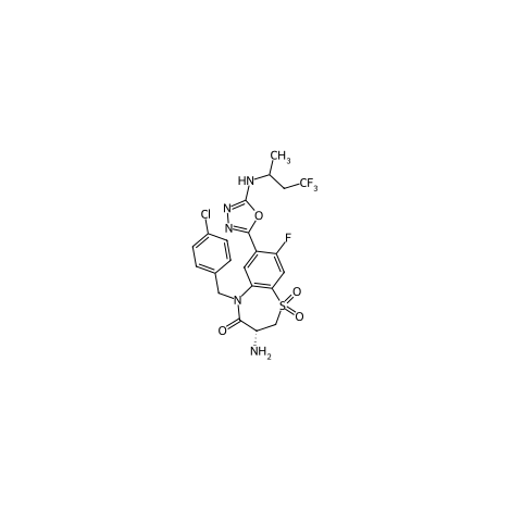 CC(CC(F)(F)F)Nc1nnc(-c2cc3c(cc2F)S(=O)(=O)C[C@H](N)C(=O)N3Cc2ccc(Cl)cc2)o1